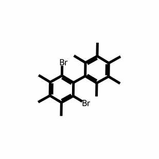 Cc1c(C)c(C)c(-c2c(Br)c(C)c(C)c(C)c2Br)c(C)c1C